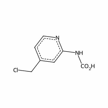 O=C(O)Nc1cc(CCl)ccn1